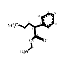 CCCC(C(=O)OCN)c1ccccc1